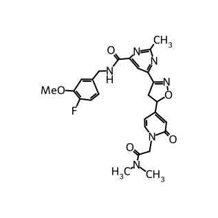 COc1cc(CNC(=O)c2cc(C3=NOC(c4ccn(CC(=O)N(C)C)c(=O)c4)C3)nc(C)n2)ccc1F